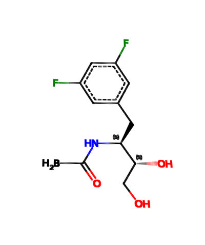 BC(=O)N[C@@H](Cc1cc(F)cc(F)c1)[C@H](O)CO